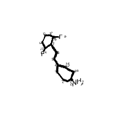 NC1CCC(CCC2C(F)CCCC2F)CC1